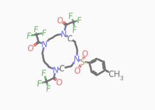 Cc1ccc(S(=O)(=O)N2CCCN(C(=O)C(F)(F)F)CCN(C(=O)C(F)(F)F)CCCN(C(=O)C(F)(F)F)CC2)cc1